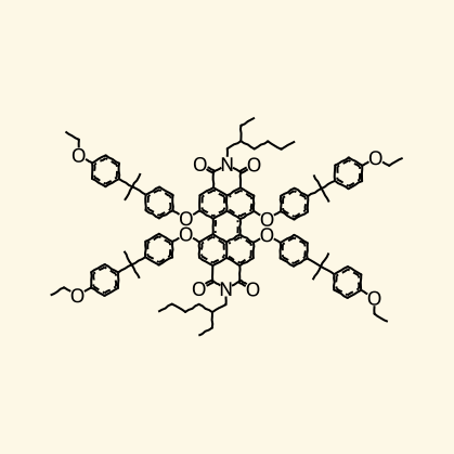 CCCCC(CC)CN1C(=O)c2cc(Oc3ccc(C(C)(C)c4ccc(OCC)cc4)cc3)c3c4c(Oc5ccc(C(C)(C)c6ccc(OCC)cc6)cc5)cc5c6c(cc(Oc7ccc(C(C)(C)c8ccc(OCC)cc8)cc7)c(c7c(Oc8ccc(C(C)(C)c9ccc(OCC)cc9)cc8)cc(c2c37)C1=O)c64)C(=O)N(CC(CC)CCCC)C5=O